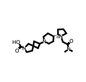 CN(C)C(=O)CN1CCC[C@H]1C1CCN(C2CC3(CCN(C(=O)O)C3)C2)CC1